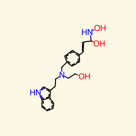 OCCN(CCc1c[nH]c2ccccc12)Cc1ccc(/C=C/C(O)NO)cc1